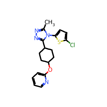 Cc1nnc(C2CCC(Oc3ccccn3)CC2)n1-c1ccc(Cl)s1